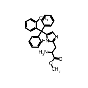 COC(=O)C(N)Cc1ncc(C(c2ccccc2)(c2ccccc2)c2ccccc2C)[nH]1